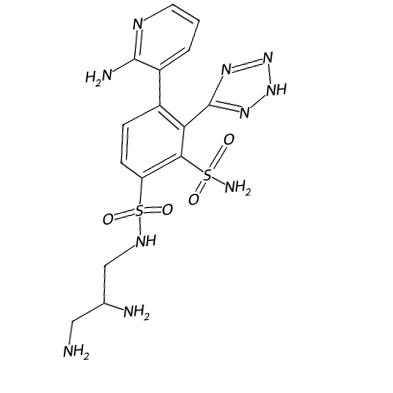 NCC(N)CNS(=O)(=O)c1ccc(-c2cccnc2N)c(-c2nn[nH]n2)c1S(N)(=O)=O